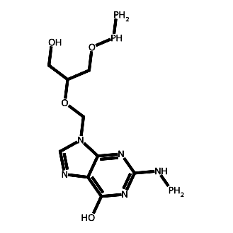 OCC(COPP)OCn1cnc2c(O)nc(NP)nc21